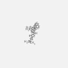 CN(C)C1CN(c2ccc(Nc3ncc4c(n3)N(S(=O)(=O)c3cccc5cccnc35)CC4(C)C)cc2F)C1